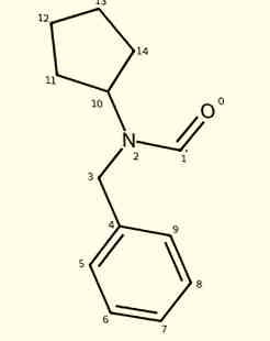 O=[C]N(Cc1ccccc1)C1CCCC1